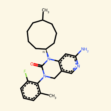 Cc1cccc(F)c1N1Cc2cnc(N)cc2N([C@H]2CCCCC(C)CCC2)C1=O